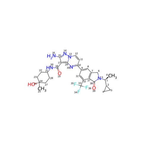 C[C@@H](C1CC1)N1Cc2cc(-c3ccn4nc(N)c(C(=O)NC5CCC(C)(O)CC5)c4n3)cc(C(F)(F)F)c2C1=O